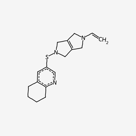 C=CN1CC2=C(C1)CN(Sc1cnc3c(c1)CCCC3)C2